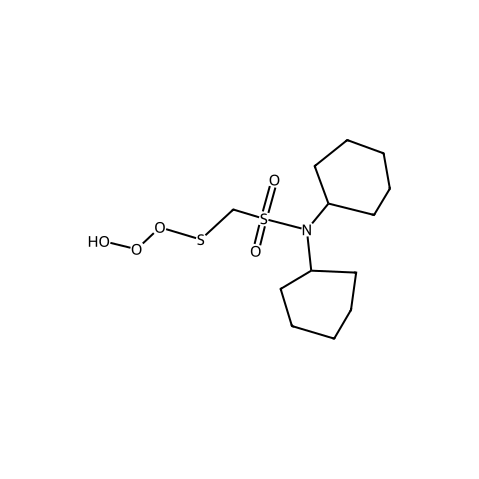 O=S(=O)(CSOOO)N(C1CCCCC1)C1CCCCC1